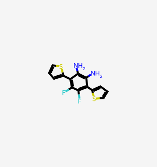 Nc1c(N)c(-c2cccs2)c(F)c(F)c1-c1cccs1